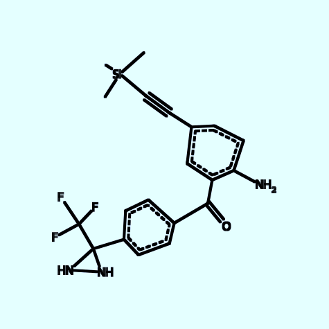 C[Si](C)(C)C#Cc1ccc(N)c(C(=O)c2ccc(C3(C(F)(F)F)NN3)cc2)c1